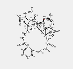 CC(=O)OC[C@]12[C@H](OC(C)=O)[C@H](OC(C)=O)[C@@H]3[C@@H](O)[C@@]14O[C@@]3(C)COC(=O)c1cccnc1CCC(C)C(=O)O[C@@H]([C@H](OC(C)=O)[C@@H]2OC(C)=O)[C@@]4(C)O